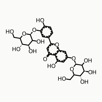 O=c1cc(-c2ccc(O)c(O[C@@H]3OC(CO)[C@@H](O)[C@H](O)C3O)c2)oc2cc(O[C@@H]3OC(CO)[C@@H](O)[C@H](O)C3O)cc(O)c12